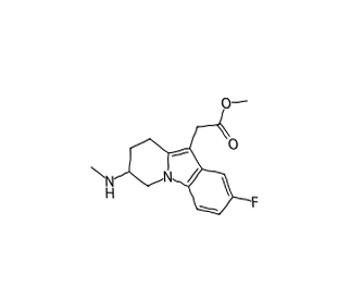 CNC1CCc2c(CC(=O)OC)c3cc(F)ccc3n2C1